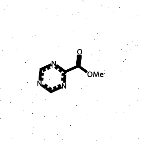 COC(=O)c1ncncn1